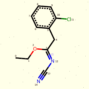 CCO/C(Cc1ccccc1Cl)=N\C#N